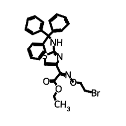 CCOC(=O)C(=NOCCBr)c1csc(NC(c2ccccc2)(c2ccccc2)c2ccccc2)n1